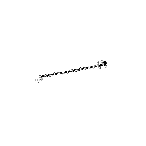 NOC(=O)CCOCCOCCOCCOCCOCCOCCOCCOCCOCCOCCOCCOCCNC(=O)CCN1C(=O)C=CC1=O